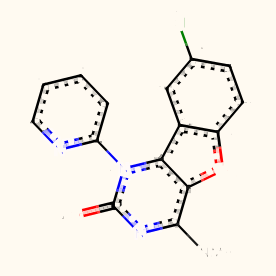 CNc1nc(=O)n(-c2ccccn2)c2c1oc1ccc(Cl)cc12